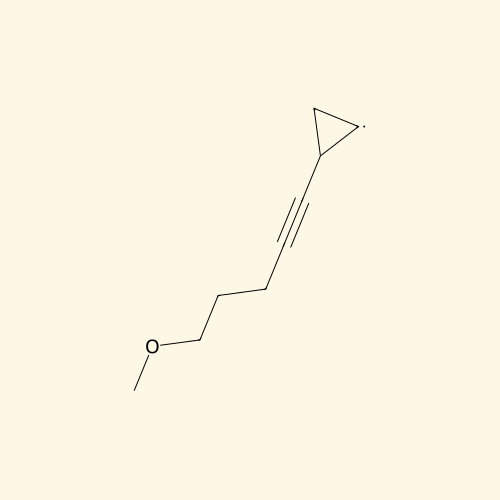 COCCCC#CC1[CH]C1